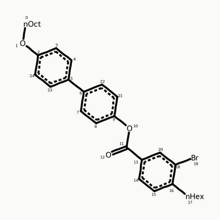 CCCCCCCCOc1ccc(-c2ccc(OC(=O)c3ccc(CCCCCC)c(Br)c3)cc2)cc1